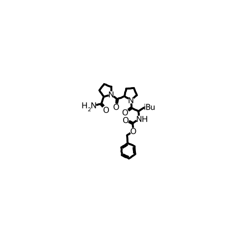 CCC(C)C(NC(=O)OCc1ccccc1)C(=O)N1CCCC1C(=O)N1CCCC1C(N)=O